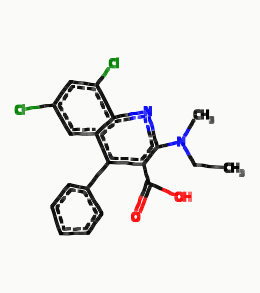 CCN(C)c1nc2c(Cl)cc(Cl)cc2c(-c2ccccc2)c1C(=O)O